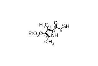 CCOC(=O)c1c(C)[nH]c(C(=O)CS)c1C